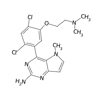 CN(C)CCOc1cc(-c2nc(N)nc3ccn(C)c23)c(Cl)cc1Cl